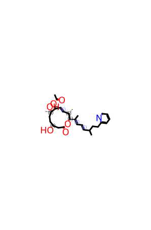 CC(=O)O[C@H]1/C=C/[C@H](C)[C@@H](/C(C)=C/C=C/C(C)CCc2ccccn2)OC(=O)C[C@H](O)CC[C@@]1(C)O